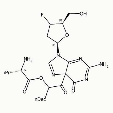 CCCCCCCCCCC(OC(=O)[C@@H](N)C(C)C)C(=O)C12N=CN([C@H]3CC(F)[C@@H](CO)O3)C1=NC(N)=NC2=O